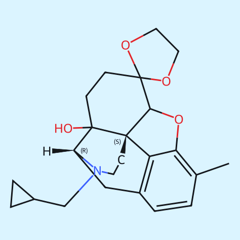 Cc1ccc2c3c1OC1C4(CCC5(O)[C@@H](C2)N(CC2CC2)CC[C@]315)OCCO4